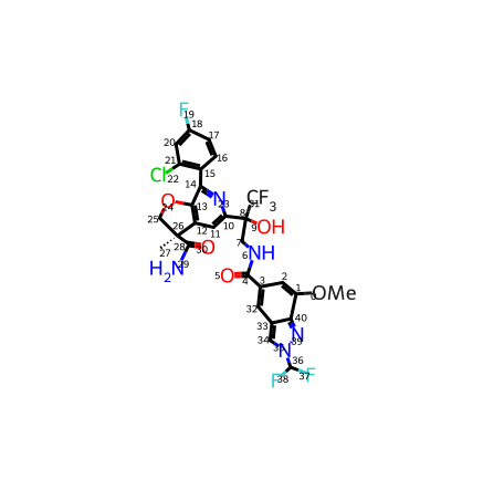 COc1cc(C(=O)NCC(O)(c2cc3c(c(-c4ccc(F)cc4Cl)n2)OC[C@]3(C)C(N)=O)C(F)(F)F)cc2cn(C(F)F)nc12